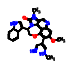 CN/C=C(\C=N)c1c(OC)cc2ncc3c4c2c1OCC(C1=CNC2C=CC=CC12)n4c(=O)n3C